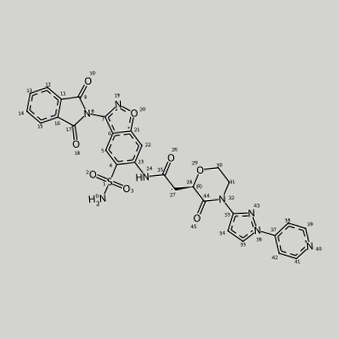 NS(=O)(=O)c1cc2c(N3C(=O)c4ccccc4C3=O)noc2cc1NC(=O)[CH][C@H]1OCCN(c2ccn(-c3ccncc3)n2)C1=O